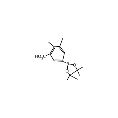 Cc1cc(B2OC(C)(C)C(C)(C)O2)cc(C(=O)O)c1C